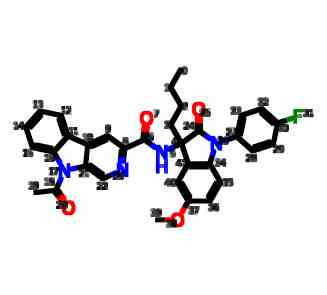 CCCCC1(NC(=O)c2cc3c4ccccc4n(C(C)=O)c3cn2)C(=O)N(c2ccc(F)cc2)c2ccc(OC)cc21